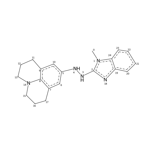 Cn1c(NNc2cc3c4c(c2)CCCN4CCC3)nc2ccccc21